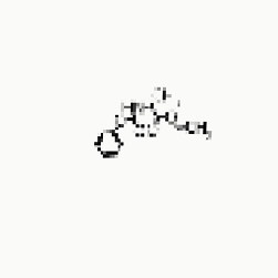 CCOC(=O)C(C)NC(=O)Oc1ccccc1